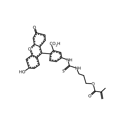 C=C(C)C(=O)OCCCNC(=S)Nc1ccc(-c2c3ccc(=O)cc-3oc3cc(O)ccc23)c(C(=O)O)c1